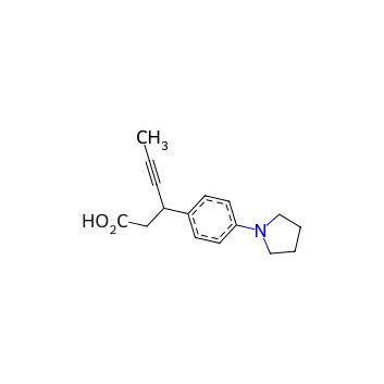 CC#CC(CC(=O)O)c1ccc(N2CCCC2)cc1